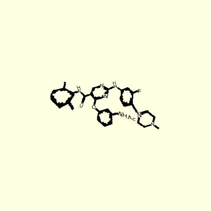 CC(=O)Nc1cccc(Oc2nc(Nc3ccc(N4CCN(C)CC4)c(F)c3)ncc2C(=O)Nc2c(C)cccc2C)c1